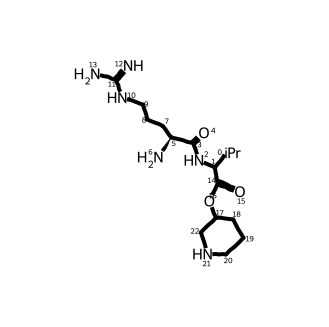 CC(C)C(NC(=O)[C@@H](N)CCCNC(=N)N)C(=O)OC1CCCNC1